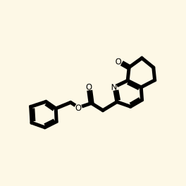 O=C(Cc1ccc2c(n1)C(=O)CCC2)OCc1ccccc1